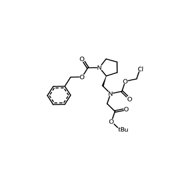 CC(C)(C)OC(=O)CN(C[C@@H]1CCCN1C(=O)OCc1ccccc1)C(=O)OCCl